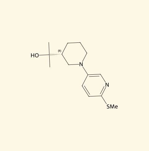 CSc1ccc(N2CCC[C@@H](C(C)(C)O)C2)cn1